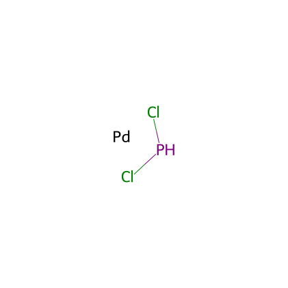 ClPCl.[Pd]